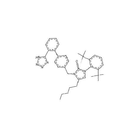 CCCCCc1cn(-c2c(C(C)(C)C)cccc2C(C)(C)C)c(=O)n1Cc1ccc(-c2ccccc2-c2nnn[nH]2)cc1